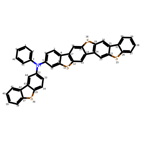 c1ccc(N(c2ccc3c(c2)sc2cc4c(cc23)sc2cc3c(cc24)sc2ccccc23)c2ccc3sc4ccccc4c3c2)cc1